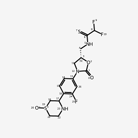 O=C1O[C@@H](CNC(=S)C(F)F)CN1c1ccc(C2C[S+]([O-])CCN2)c(F)c1